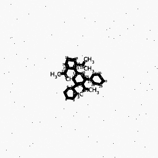 CC(C)C1=C(C2CCCCC2)CC(c2c(C(C)C)cccc2C(C)C)[C]=C1C1CCCCC1